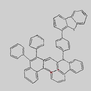 c1ccc(-c2ccccc2N(c2ccc(-c3cccc4c3sc3ccccc34)cc2)c2ccc3c(c2)c(-c2ccccc2)c(-c2ccccc2)c2ccccc23)cc1